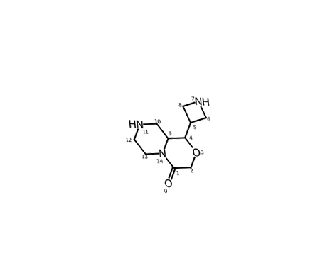 O=C1COC(C2CNC2)C2CNCCN12